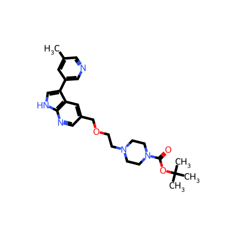 Cc1cncc(-c2c[nH]c3ncc(COCCN4CCN(C(=O)OC(C)(C)C)CC4)cc23)c1